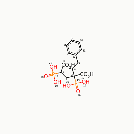 O=C(O)C(CC(CCc1ccccc1)(C(=O)O)P(=O)(O)O)P(=O)(O)O